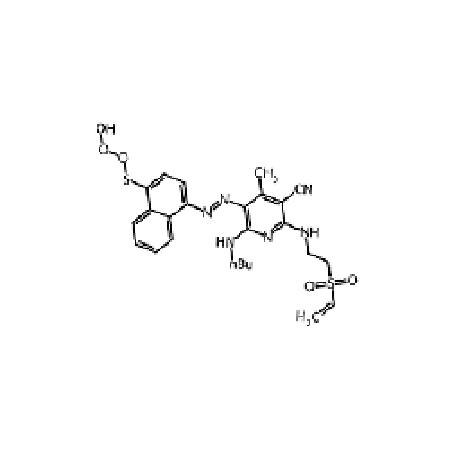 C=CS(=O)(=O)CCNc1nc(NCCCC)c(/N=N/c2ccc(SOOO)c3ccccc23)c(C)c1C#N